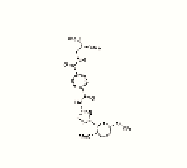 CCCOc1ccc(OC)c(-c2csc(NC(=O)c3ccc(C(=O)NCC(OC)OC)cc3)n2)c1